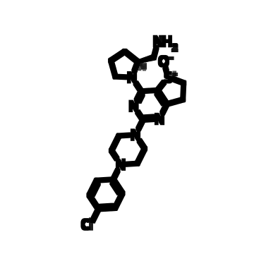 NC[C@@H]1CCCN1c1nc(N2CCN(c3ccc(Cl)cc3)CC2)nc2c1[S+]([O-])CC2